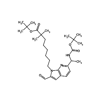 CC(NC(=O)OC(C)(C)C)c1ccc2cc(C=O)n(CCCCCCC(C)(C)C(=O)OC(C)(C)C)c2n1